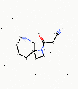 N#CCC(=O)N1CCC12CCCCNC2